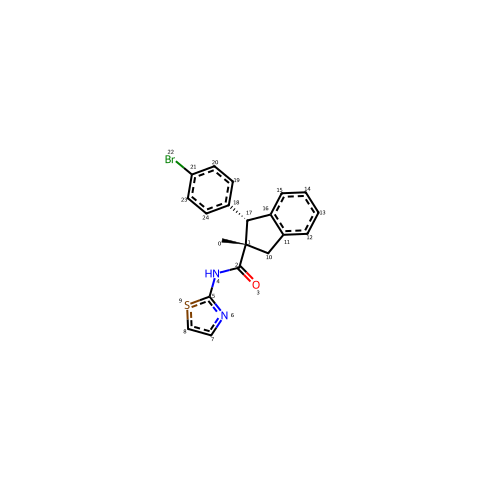 C[C@]1(C(=O)Nc2nccs2)Cc2ccccc2[C@H]1c1ccc(Br)cc1